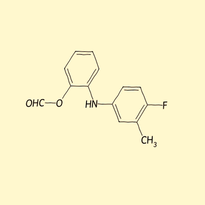 Cc1cc(Nc2ccccc2OC=O)ccc1F